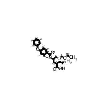 C=CCC(CC(COCOCC)NC(=O)c1ccc(Oc2ccccc2)cc1)C(=O)O